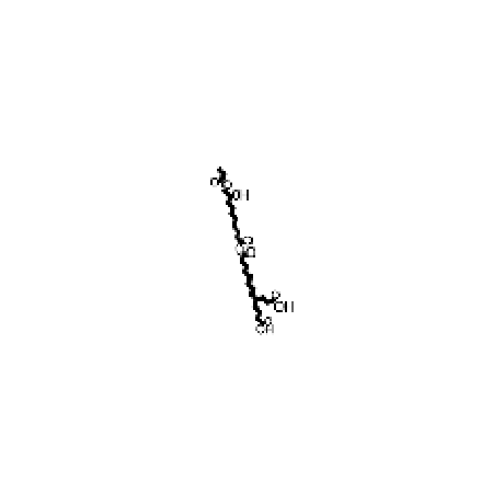 CCC(=O)OCC(O)CCCCCCCC(=O)OC(=O)CCCCCCCC(CCCC(=O)O)CCC(=O)O